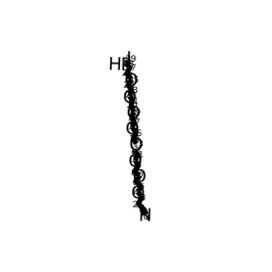 N#CCCOCCOCCOCCOCCOCCOCCOCCOCCPI